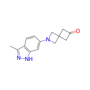 Cc1n[nH]c2cc(N3CC4(CC(=O)C4)C3)ccc12